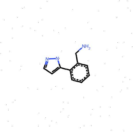 NCc1ccccc1C1=CC=N[N]1